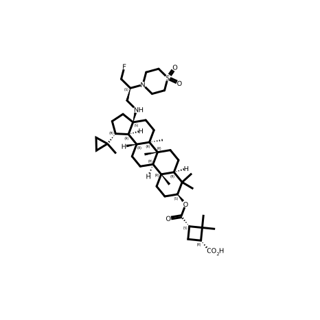 CC1([C@@H]2CC[C@]3(NC[C@@H](CF)N4CCS(=O)(=O)CC4)CC[C@]4(C)[C@H](CC[C@@H]5[C@@]6(C)CC[C@H](OC(=O)[C@H]7C[C@@H](C(=O)O)C7(C)C)C(C)(C)[C@@H]6CC[C@]54C)[C@@H]23)CC1